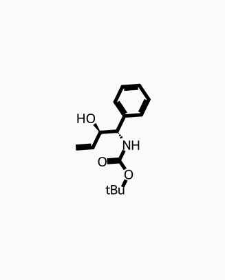 C=C[C@@H](O)[C@@H](NC(=O)OC(C)(C)C)c1ccccc1